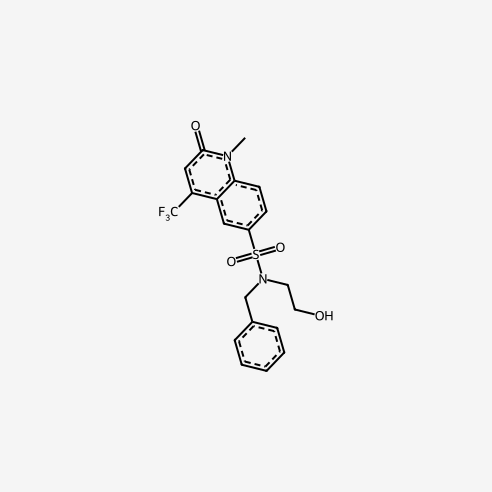 Cn1c(=O)cc(C(F)(F)F)c2cc(S(=O)(=O)N(CCO)Cc3ccccc3)ccc21